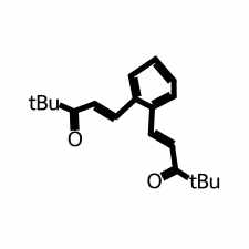 CC(C)(C)C(=O)C=Cc1ccccc1C=CC(=O)C(C)(C)C